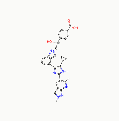 Cc1nc2nn(C)cc2cc1-c1nc(-c2cccc3nn(C[C@H](O)c4ccc(C(=O)O)cc4)cc23)c(C2CC2)n1C